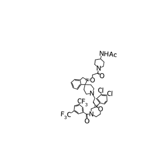 CC(=O)NC1CCN(C(=O)CO[C@H]2Cc3ccccc3C23CCN(CC[C@]2(c4ccc(Cl)c(Cl)c4)CN(C(=O)c4cc(C(F)(F)F)cc(C(F)(F)F)c4)CCO2)CC3)CC1